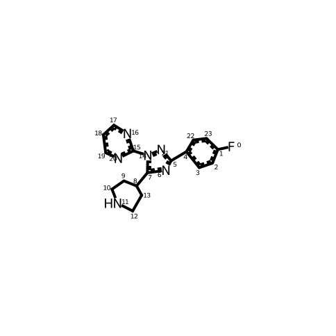 Fc1ccc(-c2nc(C3CCNCC3)n(-c3ncccn3)n2)cc1